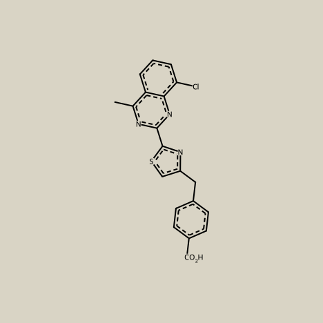 Cc1nc(-c2nc(Cc3ccc(C(=O)O)cc3)cs2)nc2c(Cl)cccc12